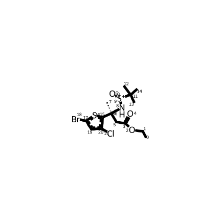 CCOC(=O)C[C@](C)(N[S@+]([O-])C(C)(C)C)c1sc(Br)cc1Cl